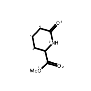 COC(=O)C1CCCC(=O)N1